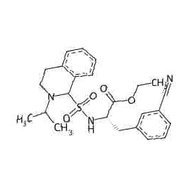 CCOC(=O)[C@H](Cc1cccc(C#N)c1)NS(=O)(=O)C1c2ccccc2CCN1C(C)C